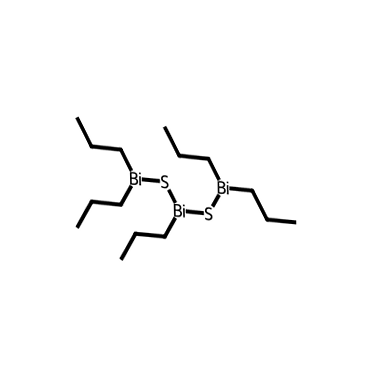 CC[CH2][Bi]([CH2]CC)[S][Bi]([CH2]CC)[S][Bi]([CH2]CC)[CH2]CC